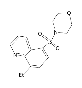 CCc1ccc(S(=O)(=O)N2CCOCC2)c2cccnc12